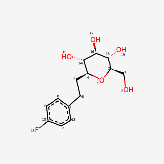 OC[C@H]1O[C@@H](CCc2ccc(F)cc2)[C@H](O)[C@@H](O)[C@@H]1O